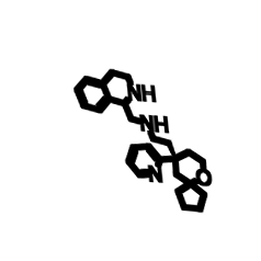 c1ccc([C@]2(CCNCC3NCCc4ccccc43)CCOC3(CCCC3)C2)nc1